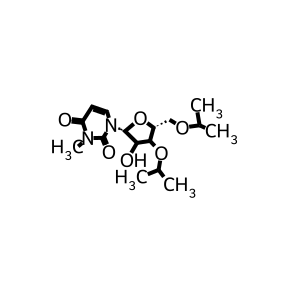 CC(C)OC[C@H]1O[C@@H](n2ccc(=O)n(C)c2=O)C(O)C1OC(C)C